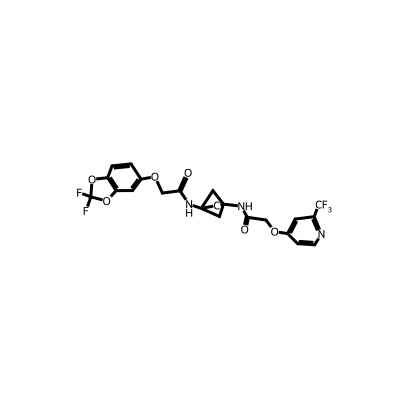 O=C(COc1ccnc(C(F)(F)F)c1)NC12CC(NC(=O)COc3ccc4c(c3)OC(F)(F)O4)(C1)C2